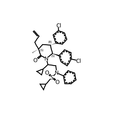 C=CC[C@@]1(C)C[C@H](c2cccc(Cl)c2)[C@@H](c2ccc(Cl)cc2)N(C(CN(c2ccccc2)S(=O)(=O)C2CC2)C2CC2)C1=O